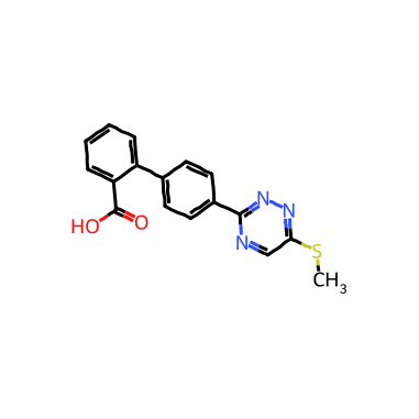 CSc1cnc(-c2ccc(-c3ccccc3C(=O)O)cc2)nn1